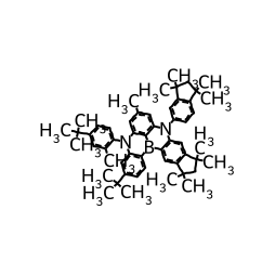 Cc1cc2c3c(c1)N(c1ccc(C(C)(C)C)cc1C)c1cc(C(C)(C)C)ccc1B3c1cc3c(cc1N2c1ccc2c(c1)C(C)(C)CC2(C)C)C(C)(C)CC3(C)C